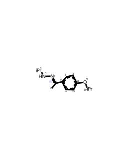 C/C(=N\NC(C)C)c1ccc(OC(C)C)cc1